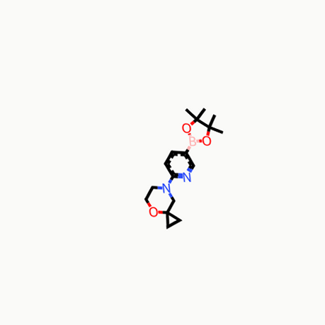 CC1(C)OB(c2ccc(N3CCOC4(CC4)C3)nc2)OC1(C)C